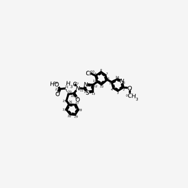 COc1ccc(-c2ccc(Cl)c(-c3csc(N(C)C(=O)[C@@H](CC(=O)O)Cc4ccccc4)n3)c2)cn1